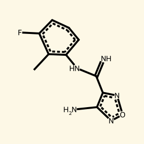 Cc1c(F)cccc1NC(=N)c1nonc1N